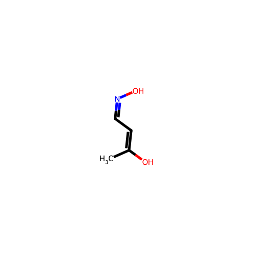 C/C(O)=C\C=N/O